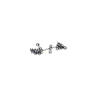 CC[C@H]1O[C@@H](n2cnc3c(/N=C\N(C)C)ncnc32)[C@@H](OC(=O)CCC(C)=O)C1OCCCCCCNC(=O)CCCCO[C@@H]1O[C@H](CC)[C@H](C)[C@H](OC(=O)c2ccccc2)[C@H]1NC(C)=O